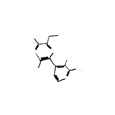 CNc1nccc(-c2nc(CO)c(Cl)nc2Cl)c1Cl